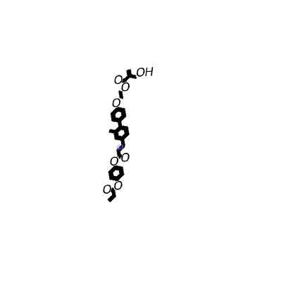 C=CC(=O)Oc1ccc(OC(=O)/C=C/c2ccc(-c3ccc(OCCOC(=O)C(=C)CO)cc3)c(C)c2)cc1